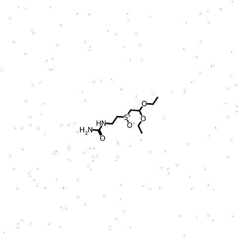 CCOC(C[S+]([O-])CCNC(N)=O)OCC